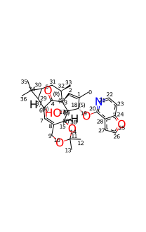 CC1=C[C@]23C(=O)[C@@H](C=C4COC(C)(C)O[C@H]4[C@]2(O)[C@H]1Oc1nccc2occc12)C1C(C[C@H]3C)C1(C)C